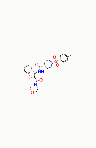 Cc1ccc(S(=O)(=O)N2CCC(C(=O)Nc3c(C(=O)N4CCOCC4)oc4ccccc34)CC2)cc1